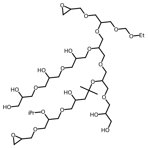 CCOCOCC(COCC1CO1)OCC(COCC(COCC(O)CO)OC(C)(C)CC(O)COCC(COCC1CO1)OC(C)C)OCC(O)COCC(O)COCC(O)CO